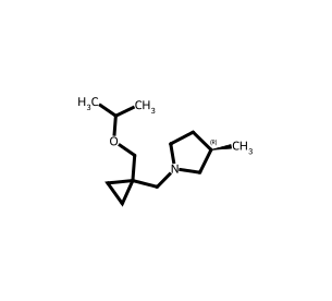 CC(C)OCC1(CN2CC[C@@H](C)C2)CC1